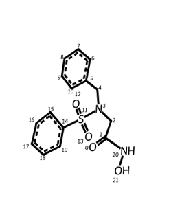 O=C(CN(Cc1ccccc1)S(=O)(=O)c1ccccc1)NO